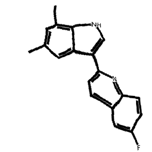 Cc1cc(C)c2[nH]cc(-c3ccc4cc(F)ccc4n3)c2c1